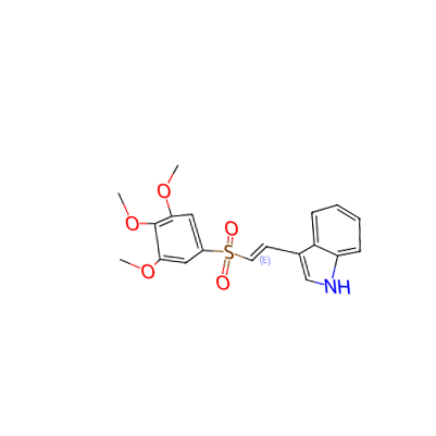 COc1cc(S(=O)(=O)/C=C/c2c[nH]c3ccccc23)cc(OC)c1OC